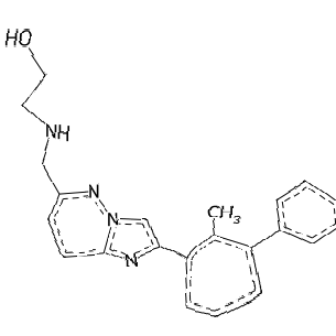 Cc1c(-c2ccccc2)cccc1-c1cn2nc(CNCCO)ccc2n1